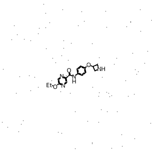 CCOc1cnc(C(=O)Nc2ccc(OC3CNC3)cc2)cn1